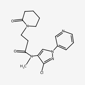 CN(C(=O)CCN1CCCCC1=O)c1cn(-c2cccnc2)nc1Cl